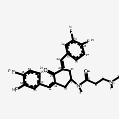 CN(C)CCC(=O)N(C)C1CC(=Cc2ccc(F)c(F)c2)C(=O)C(=Cc2ccc(F)c(F)c2)C1